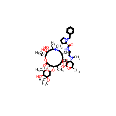 CC[C@H]1OC(=O)[C@H](C)[C@@H](O[C@H]2C[C@@](C)(OC)[C@@H](O)[C@H](C)O2)[C@H](C)[C@@H](O[C@@H]2O[C@H](C)C[C@H](N(C)CCNC(=O)[C@@H]3CCCN3Cc3ccccc3)[C@H]2O)[C@](C)(O)C[C@@H](C)CN(C)[C@H](C)[C@@H](O)[C@]1(C)O